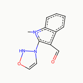 Cn1c(N2C=CON2)c(C=O)c2ccccc21